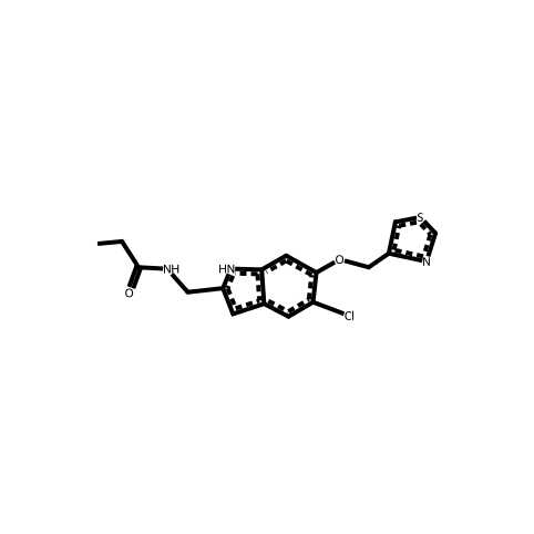 CCC(=O)NCc1cc2cc(Cl)c(OCc3cscn3)cc2[nH]1